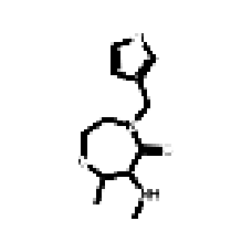 CNC1C(=O)N(Cc2ccoc2)CCOC1C